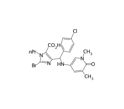 CCCn1c(Br)nc(C(Nc2cc(C)c(=O)n(C)c2)c2ccc(Cl)cc2)c1C(=O)O